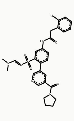 CN(C)C=NS(=O)(=O)c1cc(NC(=O)Cc2ccccc2Cl)ccc1-c1cncc(C(=O)N2CCCC2)c1